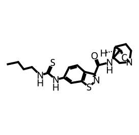 CCCCNC(=S)Nc1ccc2c(C(=O)N[C@@H]3CN4CCC3CC4)nsc2c1